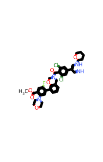 COC(=O)c1cc(F)c(-c2cccc3c2OCN(C(=O)c2c(Cl)cc(/C(C=N)=C/NC4CCCCO4)cc2Cl)C3)cc1N1CCOCC1